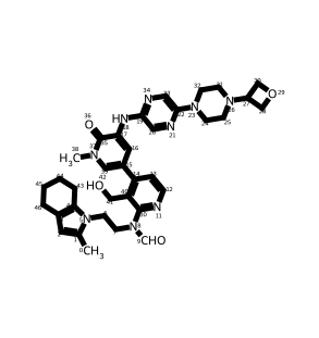 Cc1cc2c(n1CCN(C=O)c1nccc(-c3cc(Nc4cnc(N5CCN(C6COC6)CC5)cn4)c(=O)n(C)c3)c1CO)CCCC2